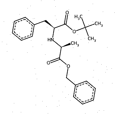 C[C@H](N[C@@H](Cc1ccccc1)C(=O)OC(C)(C)C)C(=O)OCc1ccccc1